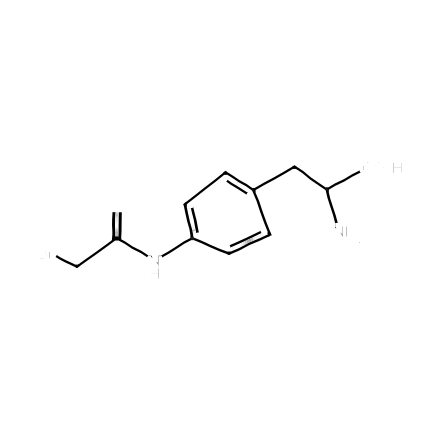 NC(Cc1ccc(NC(=O)CBr)cc1)C(=O)O